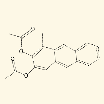 CC(=O)Oc1cc2cc3ccccc3cc2c(C)c1OC(C)=O